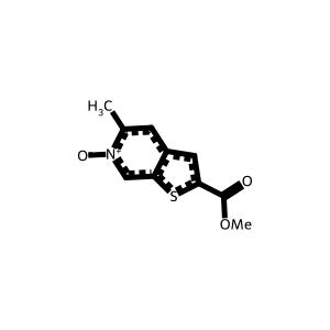 COC(=O)c1cc2cc(C)[n+]([O-])cc2s1